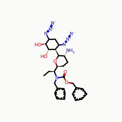 CC[C@@H]([C@@H]1CC[C@@H](N)C([C@@H]2C(N=[N+]=[N-])CC(N=[N+]=[N-])[C@H](O)[C@H]2O)O1)N(Cc1ccccc1)C(=O)OCc1ccccc1